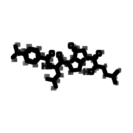 CC(C)CCC(O)C(=O)N1CC(=O)C2C1CCN2C(=O)C(CC(C)C)NC(=O)c1ccc(N(C)C)cc1